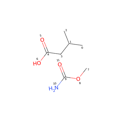 CC(C)CC(=O)O.COC(N)=O